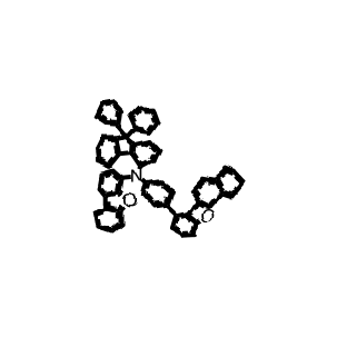 c1ccc(C2(c3ccccc3)c3ccccc3-c3c(N(c4ccc(-c5cccc6oc7c8ccccc8ccc7c56)cc4)c4cccc5c4oc4ccccc45)cccc32)cc1